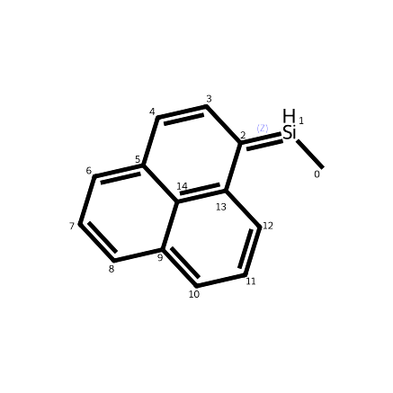 C/[SiH]=c1/ccc2cccc3cccc1c32